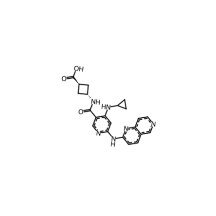 O=C(N[C@H]1C[C@H](C(=O)O)C1)c1cnc(Nc2ccc3cnccc3n2)cc1NC1CC1